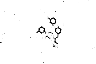 N#Cc1ccc(CC(c2cnc[nH]2)N2CCN(c3cccc(Cl)c3)C(=O)C2)cc1Oc1cccc(Cl)c1